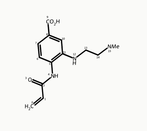 C=CC(=O)Nc1ccc(C(=O)O)cc1NCCNC